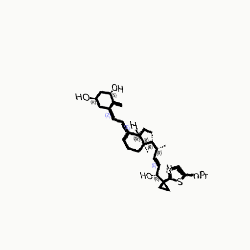 C=C1/C(=C\C=C2/CCC[C@]3(C)[C@@H]([C@H](C)/C=C/[C@@H](O)C4(c5ncc(CCC)s5)CC4)CC[C@@H]23)C[C@@H](O)C[C@@H]1O